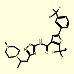 CC(Cc1nsc(NC(=O)c2cc(-c3cccc(C(F)(F)F)c3)oc2C(F)(F)F)n1)N1CCN(C)CC1